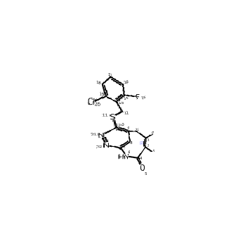 C/C1=C(\C)C(=O)Nc2cc(c(SCc3c(F)cccc3Cl)nn2)C1